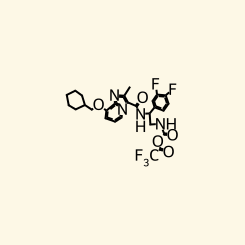 Cc1nc2c(OCC3CCCCC3)cccn2c1C(=O)NC(CNC(=O)OC(=O)C(F)(F)F)c1ccc(F)c(F)c1